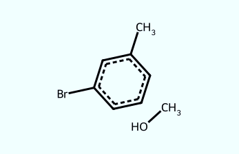 CO.Cc1cccc(Br)c1